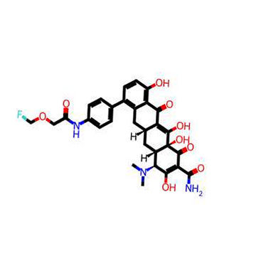 CN(C)[C@@H]1C(O)=C(C(N)=O)C(=O)[C@@]2(O)C(O)=C3C(=O)c4c(O)ccc(-c5ccc(NC(=O)COCF)cc5)c4C[C@H]3C[C@@H]12